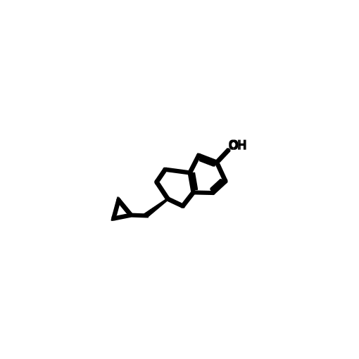 Oc1ccc2c(c1)CC[C@H](CC1CC1)C2